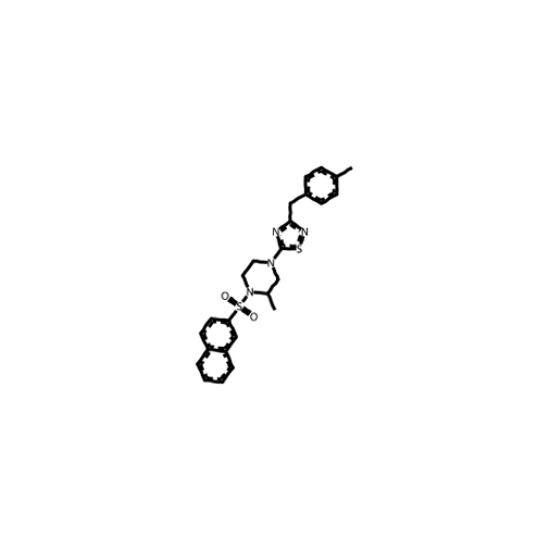 Cc1ccc(Cc2nsc(N3CCN(S(=O)(=O)c4ccc5ccccc5c4)C(C)C3)n2)cc1